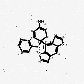 NC1=CCC(Nc2ccccc2)(c2c3ccsc3cc3ccsc23)C=C1